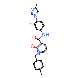 Cc1ccc(Cn2cccc(C(=O)Nc3ccc(-n4cnc(C)c4)c(C)c3)c2=O)cc1